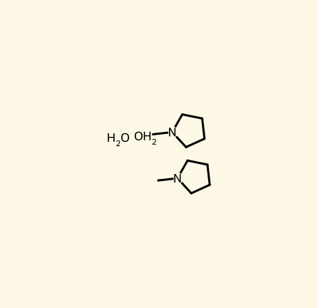 CN1CCCC1.CN1CCCC1.O.O